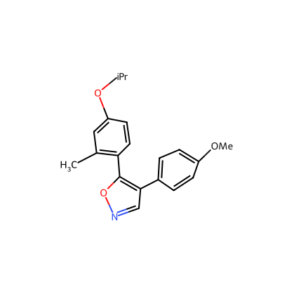 COc1ccc(-c2cnoc2-c2ccc(OC(C)C)cc2C)cc1